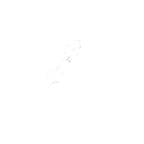 O=C(Cc1ccc(F)cc1)N1C2CCC1CN(I)C2